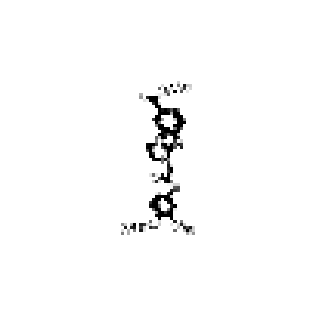 COC(=O)c1ccc2nc3n(c2c1)CCN3CC(=O)Nc1ccc(OC)c(OC)c1